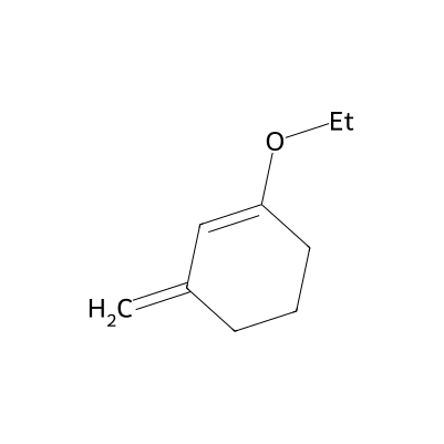 C=C1C=C(OCC)CCC1